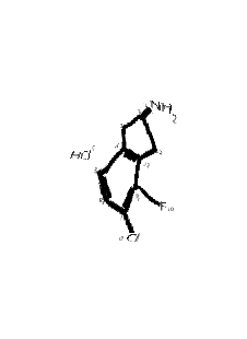 Cl.NC1Cc2ccc(Cl)c(F)c2C1